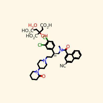 CN(C[C@@H](CCN1CCC(N2CCCCC2=O)CC1)c1ccc(Cl)c(Cl)c1)C(=O)c1cc(C#N)cc2ccccc12.O.O=C(O)CC(O)(CC(=O)O)C(=O)O